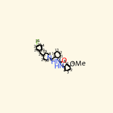 COc1cccc(NC(=O)NC2CCCCC2CN2CCC(Cc3ccc(F)cc3)CC2)c1